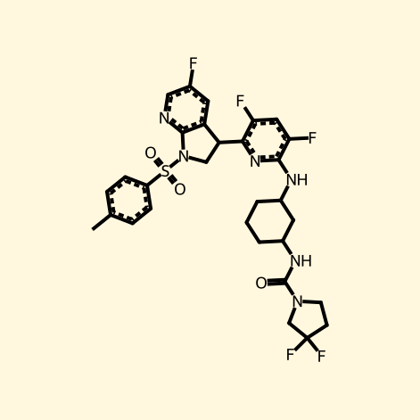 Cc1ccc(S(=O)(=O)N2CC(c3nc(NC4CCCC(NC(=O)N5CCC(F)(F)C5)C4)c(F)cc3F)c3cc(F)cnc32)cc1